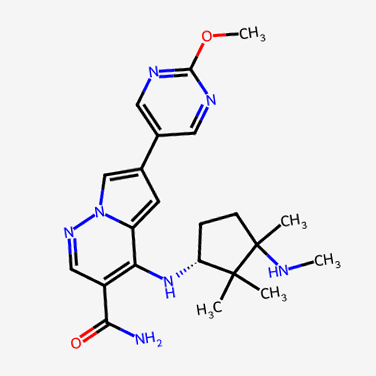 CNC1(C)CC[C@@H](Nc2c(C(N)=O)cnn3cc(-c4cnc(OC)nc4)cc23)C1(C)C